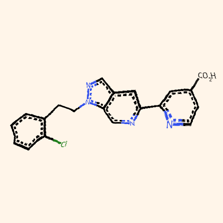 O=C(O)c1ccnc(-c2cc3cnn(CCc4ccccc4Cl)c3cn2)c1